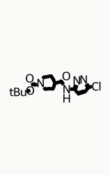 CC(C)(C)OC(=O)N1CCC(C(=O)Nc2ccc(Cl)nn2)CC1